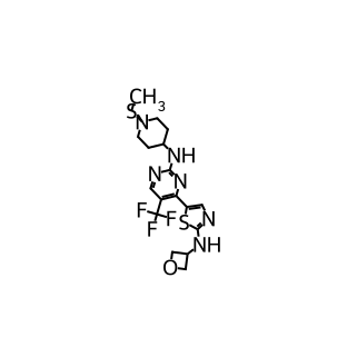 CSN1CCC(Nc2ncc(C(F)(F)F)c(-c3cnc(NC4COC4)s3)n2)CC1